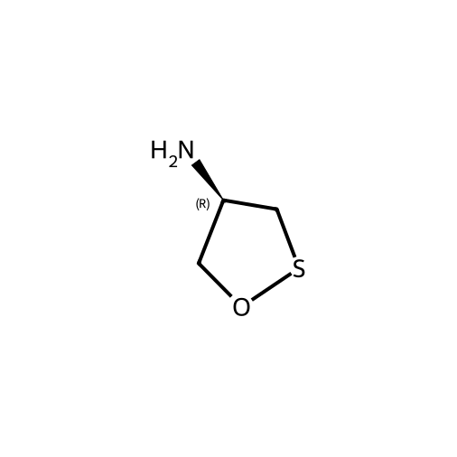 N[C@@H]1COSC1